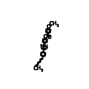 CCCCCCC[C@H]1CC[C@H](c2cnc(-c3ccc(OC(=O)c4ccc(OCC)cc4)cc3)nc2)CC1